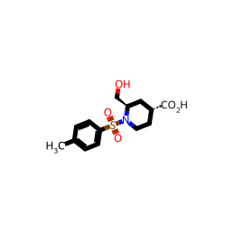 Cc1ccc(S(=O)(=O)N2CC[C@@H](C(=O)O)C[C@@H]2CO)cc1